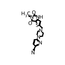 CCn1c(=O)[nH]c2cc(CN3CCN(c4ccc(C#N)cn4)CC3)sc2c1=O